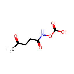 CC(=O)CCC(=O)NOC(=O)O